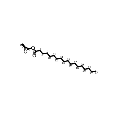 C=C1OC1OC(=O)CCCCCCCCCCCCCCCCC